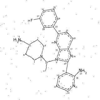 CC(N1CCC(N)CC1)n1c(-c2cccnc2N)nc2ccc(-c3cccc(F)c3)nc21